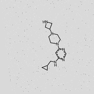 c1nc(NCC2CC2)cc(N2CCN(C3CNC3)CC2)n1